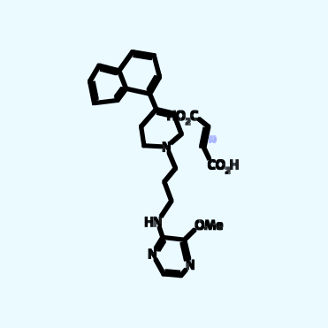 COc1nccnc1NCCCN1CC=C(c2cccc3ccccc23)CC1.O=C(O)/C=C/C(=O)O